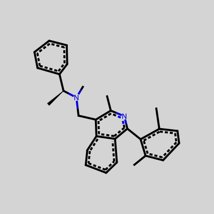 Cc1cccc(C)c1-c1nc(C)c(CN(C)[C@@H](C)c2ccccc2)c2ccccc12